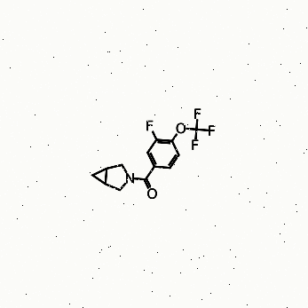 O=C(c1ccc(OC(F)(F)F)c(F)c1)N1CC2CC2C1